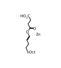 CCCCCCCCCCC=COC(=O)CCC(=O)O.[Zn]